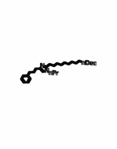 CCCCCCCCCCCCCCCCCCCc1nc(CCCc2ccccc2)cn1CCC